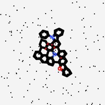 c1ccc(-n2c3ccccc3c3cc(-c4ccccc4N(c4ccccc4-c4cccc5c4oc4ccccc45)c4ccccc4-c4cccc5cccc(C6CCCCC6)c45)ccc32)cc1